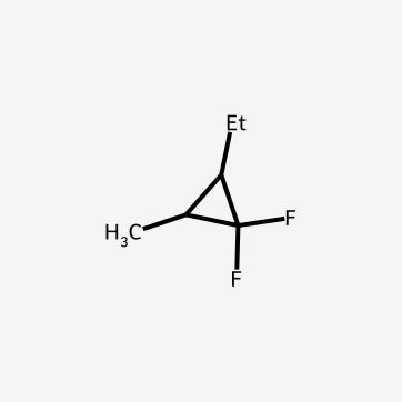 CCC1C(C)C1(F)F